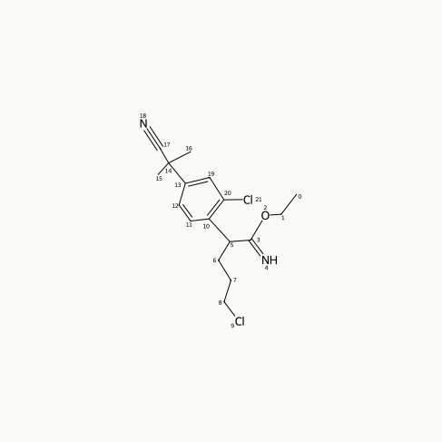 CCOC(=N)C(CCCCl)c1ccc(C(C)(C)C#N)cc1Cl